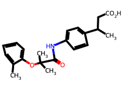 Cc1ccccc1OC(C)(C)C(=O)Nc1ccc(C(C)CC(=O)O)cc1